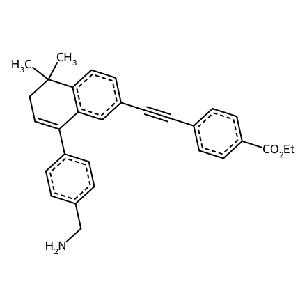 CCOC(=O)c1ccc(C#Cc2ccc3c(c2)C(c2ccc(CN)cc2)=CCC3(C)C)cc1